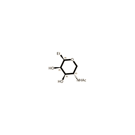 CC[C@H]1OC[C@H](NC(C)=O)[C@@H](O)[C@H]1O